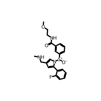 CNCc1cc(-c2ccccc2F)n([S+]([O-])c2cccc(C(=O)NCCOC)c2)c1